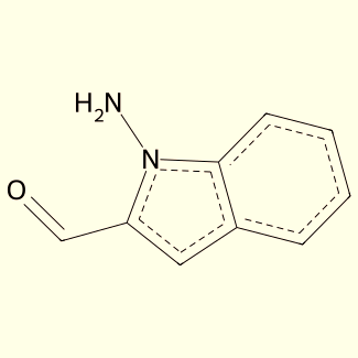 Nn1c(C=O)cc2ccccc21